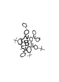 CC(C)(C)c1ccc(N2c3cc(N(c4ccccc4)c4ccccc4)cc4c3B3c5c(cc(C(C)(C)C)cc5[Si](C)(c5ccccc5)c5cc(C(C)(C)C)cc2c53)N4c2ccc(-c3ccccc3)cc2)cc1